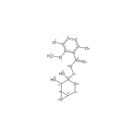 COc1c(Cl)ccc(Cl)c1C(=O)OCC1(O)OCC2OC2C1O